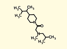 CC(C)CN(C)CC(=O)N1CCC(C(C)C(C)C)CC1